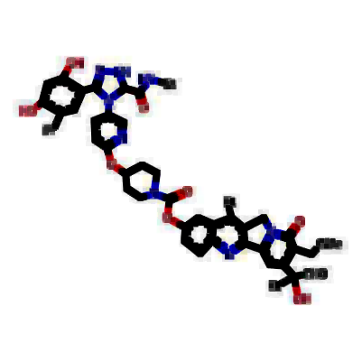 CCNC(=O)C1NN=C(c2cc(C(C)C)c(O)cc2O)N1c1ccc(OC2CCN(C(=O)Oc3ccc4nc5c(c(CC)c4c3)Cn3c-5cc(C(O)(C=O)CC)c(COC)c3=O)CC2)nc1